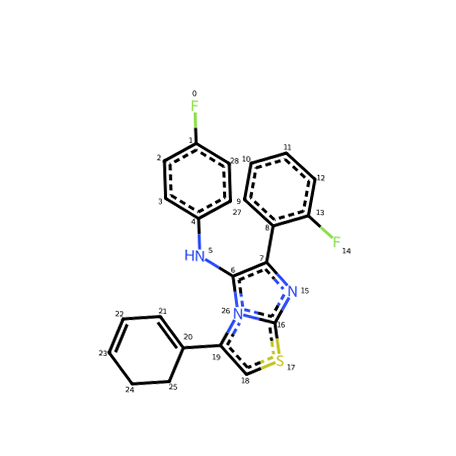 Fc1ccc(Nc2c(-c3ccccc3F)nc3scc(C4=CC=CCC4)n23)cc1